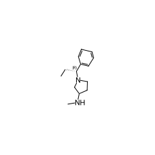 CC[C@H](c1ccccc1)N1CCC(NC)C1